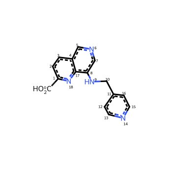 O=C(O)c1ccc2cncc(NCc3ccncc3)c2n1